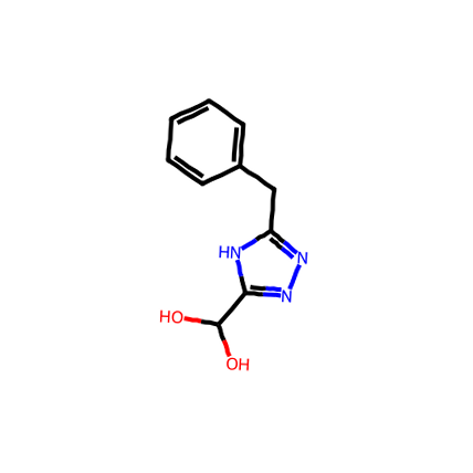 OC(O)c1nnc(Cc2ccccc2)[nH]1